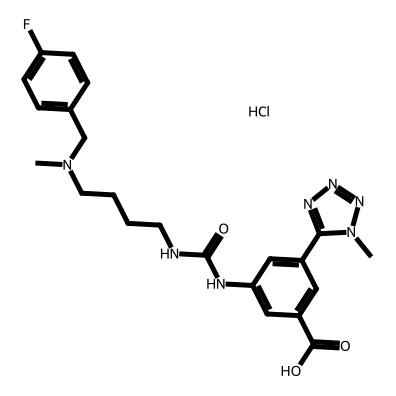 CN(CCCCNC(=O)Nc1cc(C(=O)O)cc(-c2nnnn2C)c1)Cc1ccc(F)cc1.Cl